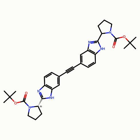 CC(C)(C)OC(=O)N1CCCC1c1nc2cc(C#Cc3ccc4nc([C@@H]5CCCN5C(=O)OC(C)(C)C)[nH]c4c3)ccc2[nH]1